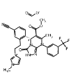 COC(=O)C1=C(C)N(c2cccc(C(F)(F)F)c2)c2n[nH]c(=O)n2[C@@H]1c1ccc(C#N)cc1CC[n+]1ccn(C)c1.O=C[O-]